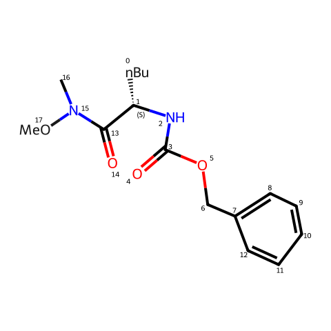 CCCC[C@H](NC(=O)OCc1ccccc1)C(=O)N(C)OC